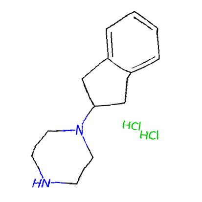 Cl.Cl.c1ccc2c(c1)CC(N1CCNCC1)C2